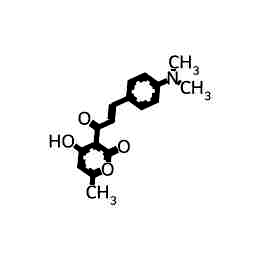 Cc1cc(O)c(C(=O)C=Cc2ccc(N(C)C)cc2)c(=O)o1